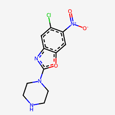 O=[N+]([O-])c1cc2oc(N3CCNCC3)nc2cc1Cl